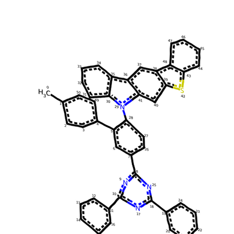 Cc1ccc(-c2cc(-c3nc(-c4ccccc4)nc(-c4ccccc4)n3)ccc2-n2c3ccccc3c3cc4c(cc32)sc2ccccc24)cc1